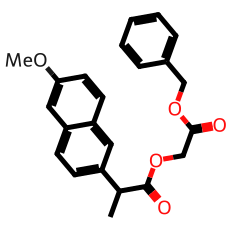 COc1ccc2cc(C(C)C(=O)OCC(=O)OCc3ccccc3)ccc2c1